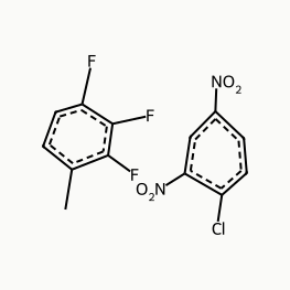 Cc1ccc(F)c(F)c1F.O=[N+]([O-])c1ccc(Cl)c([N+](=O)[O-])c1